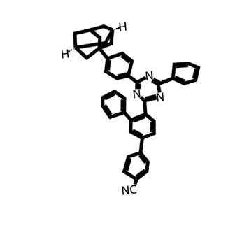 N#Cc1ccc(-c2ccc(-c3nc(-c4ccccc4)nc(-c4ccc(C56CC7C[C@H](C5)C[C@@H](C7)C6)cc4)n3)c(-c3ccccc3)c2)cc1